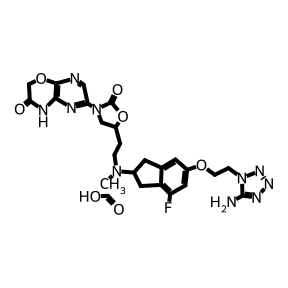 CN(CCC1CN(c2cnc3c(n2)NC(=O)CO3)C(=O)O1)C1Cc2cc(OCCn3nnnc3N)cc(F)c2C1.O=CO